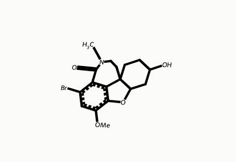 COc1cc(Br)c2c3c1OC1CC(O)CCC31CCN(C)C2=O